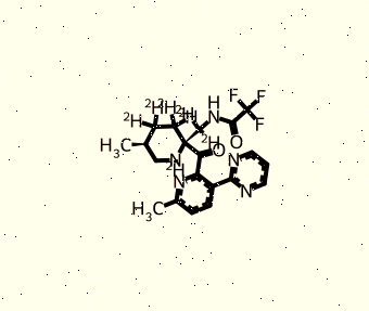 [2H]N1C[C@@H](C)C([2H])([2H])C([2H])([2H])[C@@]1(C(=O)c1nc(C)ccc1-c1ncccn1)C([2H])([2H])NC(=O)C(F)(F)F